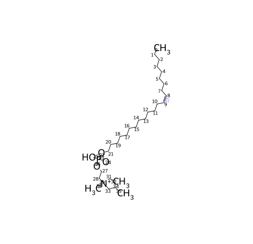 CCCCCCCC/C=C\CCCCCCCCCCCCOP(=O)(O)OCC[N+](C)(CC)CCC